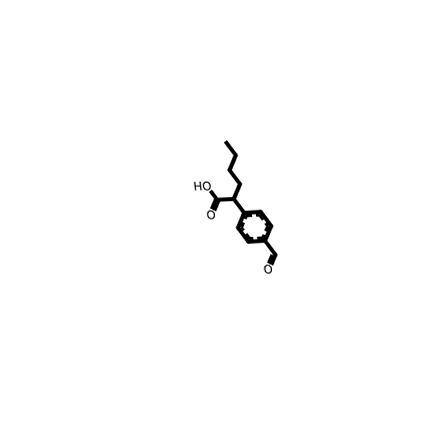 CCCCC(C(=O)O)c1ccc(C=O)cc1